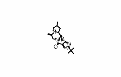 C=C(CNC(=O)c1cnn(C(C)(C)C)c1)N1CC(C)CC1C#N